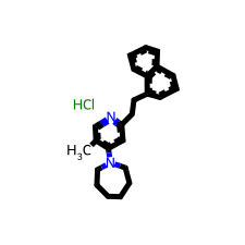 Cc1cnc(CCc2cccc3ccccc23)cc1N1CCCCCC1.Cl